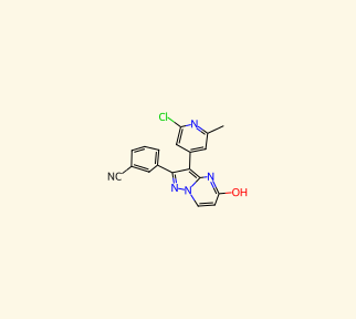 Cc1cc(-c2c(-c3cccc(C#N)c3)nn3ccc(O)nc23)cc(Cl)n1